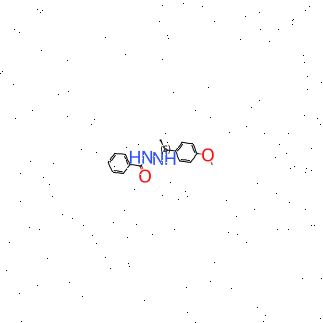 COc1ccc([C@H](C)NNC(=O)c2ccccc2)cc1